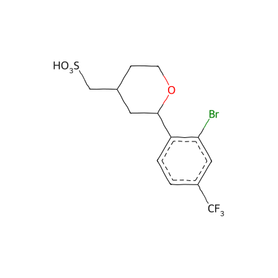 O=S(=O)(O)CC1CCOC(c2ccc(C(F)(F)F)cc2Br)C1